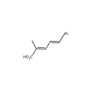 CC(=CC=CC(C)C)C(=O)O